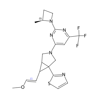 CO/C=C/C1C2CN(c3cc(C(F)(F)F)nc(N4CC[C@@H]4C)n3)CC12c1nccs1